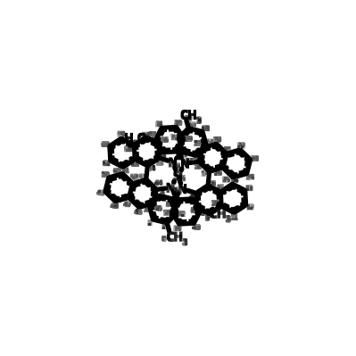 Cc1cccc(N2c3ccc4ccccc4c3-c3c(ccc4ccccc34)N(c3cccc(C)c3)[Si]23N(c2cccc(C)c2)c2ccc4ccccc4c2-c2c(ccc4ccccc24)N3c2cccc(C)c2)c1